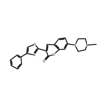 CN1CCN(c2ccc3cc(-c4nc(-c5ccccc5)cs4)c(=O)oc3c2)CC1